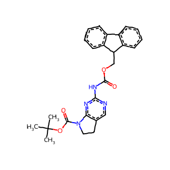 CC(C)(C)OC(=O)N1CCc2cnc(NC(=O)OCC3c4ccccc4-c4ccccc43)nc21